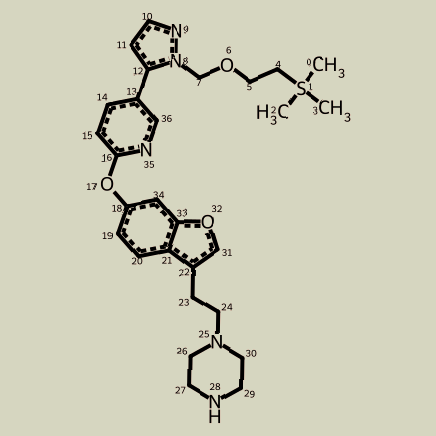 CS(C)(C)CCOCn1nccc1-c1ccc(Oc2ccc3c(CCN4CCNCC4)coc3c2)nc1